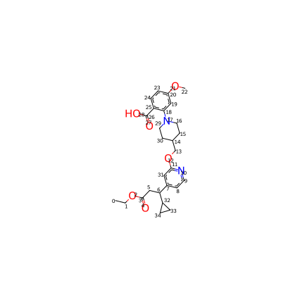 CCOC(=O)CC(c1ccnc(OCC2CCN(c3cc(OC)ccc3C(=O)O)CC2)c1)C1CC1